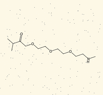 CNCCOCCOCCOCC(=O)C(C)C